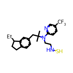 CCC1CCc2ccc(CC(C)(C)N(CCNS)c3ccc(C(F)(F)F)cn3)cc21